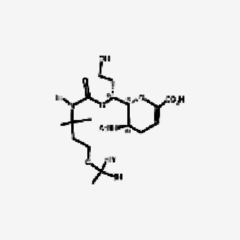 CCCC(C)(S)OCCC(C)(C)N(CC)C(=O)O[C@H](CCO)[C@@H]1OC(C(=O)O)=CC[C@H]1NC(C)=O